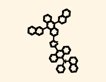 c1ccc(N(c2cccc3ccccc23)c2c3ccccc3c(-c3ccc(-c4ccc5c(-c6ccc7ccccc7c6)c6ccccc6c(-c6ccc7ccccc7c6)c5c4)s3)c3ccccc23)cc1